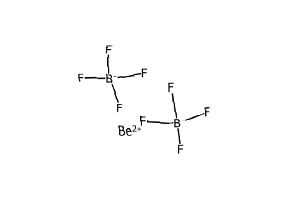 F[B-](F)(F)F.F[B-](F)(F)F.[Be+2]